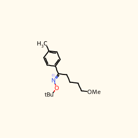 COCCCC/C(=N\OC(C)(C)C)c1ccc(C)cc1